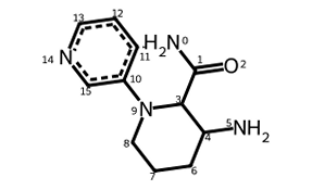 NC(=O)C1C(N)CCCN1c1[c]ccnc1